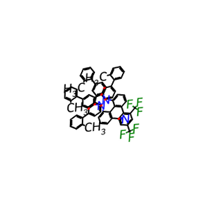 Cc1ccccc1-c1ccc2c(c1)c1cc(-c3ccccc3C)ccc1n2-c1cccc(C#N)c1-c1c(-c2ccc(C(F)(F)F)cc2C(F)(F)F)cccc1-n1c2ccc(-c3ccccc3C)cc2c2cc(-c3ccccc3C)ccc21